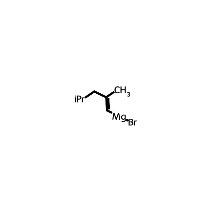 CC(=[CH][Mg][Br])CC(C)C